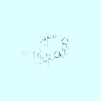 Cc1ccc(NC(=NC#N)Nc2ccc(CC(=O)NC(CC(C)C)C(=O)NC(CCCCC(NC(=O)CC(C)(C)C)C(=O)O)C(=O)O)cc2)cc1